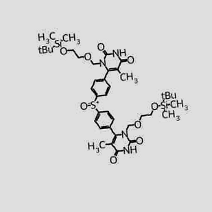 Cc1c(-c2ccc([S+]([O-])c3ccc(-c4c(C)c(=O)[nH]c(=O)n4COCCO[Si](C)(C)C(C)(C)C)cc3)cc2)n(COCCO[Si](C)(C)C(C)(C)C)c(=O)[nH]c1=O